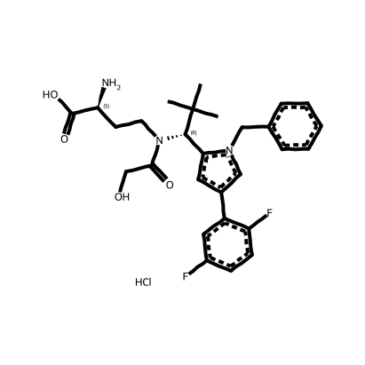 CC(C)(C)[C@H](c1cc(-c2cc(F)ccc2F)cn1Cc1ccccc1)N(CC[C@H](N)C(=O)O)C(=O)CO.Cl